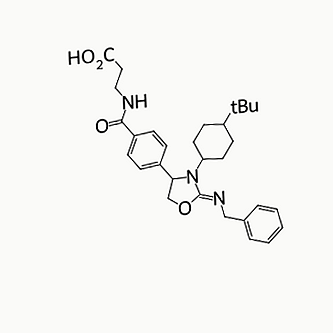 CC(C)(C)C1CCC(N2C(=NCc3ccccc3)OCC2c2ccc(C(=O)NCCC(=O)O)cc2)CC1